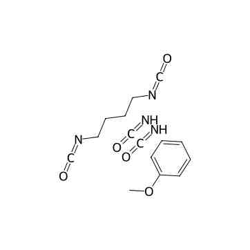 COc1ccccc1.N=C=O.N=C=O.O=C=NCCCCN=C=O